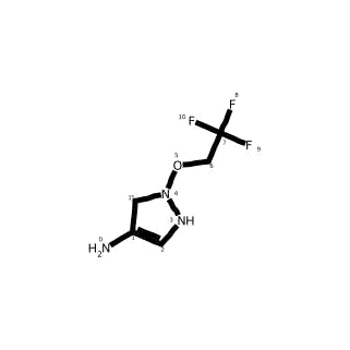 NC1=CNN(OCC(F)(F)F)C1